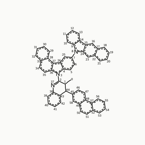 CC1C(n2c3ccc(-n4c5ccccc5c5cc6ccccc6cc54)cc3c3c4ccccc4ccc32)=Nc2ccccc2C1c1ccc2c(ccc3ccccc32)c1